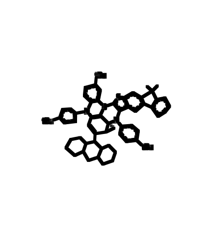 CC(C)(C)c1ccc(N2C3=C4B(c5cc(C(C)(C)C)ccc52)c2sc5cc6c(cc5c2N(c2ccc(C(C)(C)C)cc2)[C@]42CC2C(C2C4CCCCC4CC4CCCCC42)=C3)-c2ccccc2C6(C)C)cc1